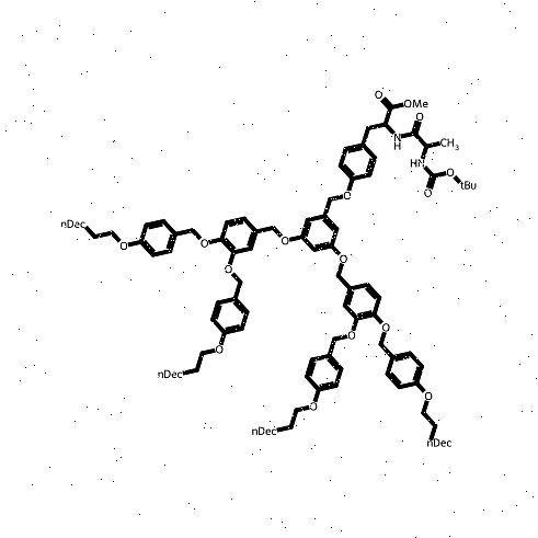 CCCCCCCCCCCCOc1ccc(COc2ccc(COc3cc(COc4ccc(CC(NC(=O)C(C)NC(=O)OC(C)(C)C)C(=O)OC)cc4)cc(OCc4ccc(OCc5ccc(OCCCCCCCCCCCC)cc5)c(OCc5ccc(OCCCCCCCCCCCC)cc5)c4)c3)cc2OCc2ccc(OCCCCCCCCCCCC)cc2)cc1